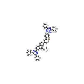 CC1(C)c2cc(-c3ccc4sc5cc(-c6nc(-c7ccccc7)nc(-c7ccccc7)n6)ccc5c4c3)ccc2-c2ccc(-c3nc(-c4ccccc4)cc(-c4ccccc4)n3)cc21